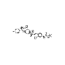 Cc1cc(N(C)C(=O)OC(C)(C)C)cc(Cl)c1/C=C/S(=O)(=O)N1CCC2(CC1)N=C(C1CCC(C)CC1)NC2=O